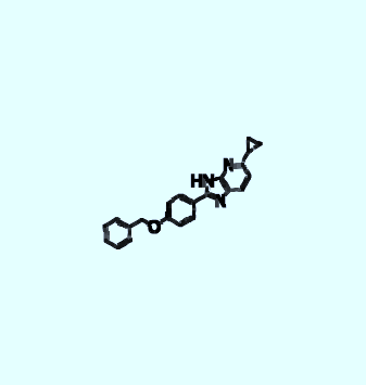 c1ccc(COc2ccc(-c3nc4ccc(C5CC5)nc4[nH]3)cc2)cc1